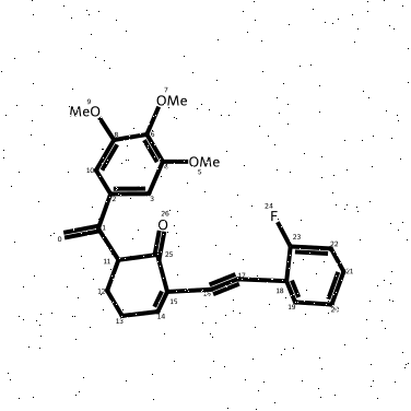 C=C(c1cc(OC)c(OC)c(OC)c1)C1CCC=C(C#Cc2ccccc2F)C1=O